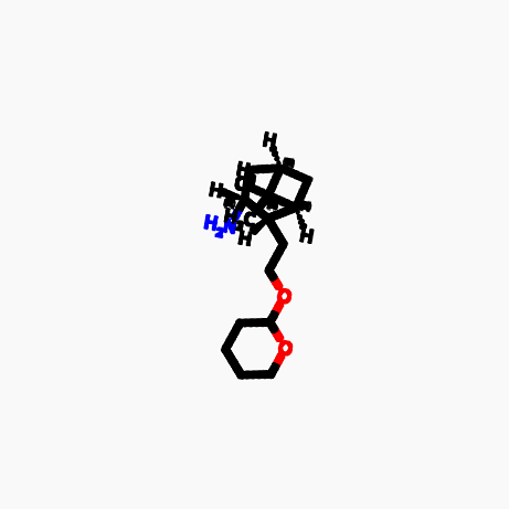 CC1(C)[C@H]2C[C@@H](N)[C@@H](CCOC3CCCCO3)[C@@H]1C2